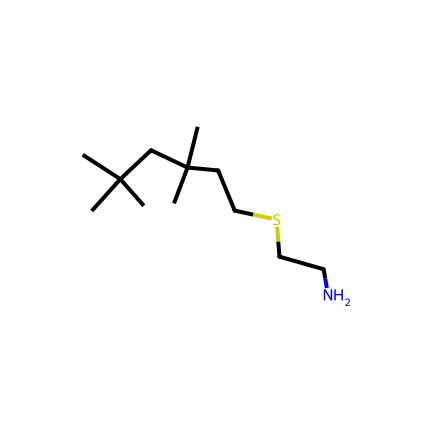 CC(C)(C)CC(C)(C)CCSCCN